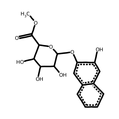 COC(=O)C1OC(Oc2cc3ccccc3cc2O)C(O)C(O)C1O